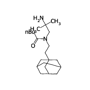 CCCCC(=O)N(CCC12CC3CC(CC(C3)C1)C2)CC(C)(C)N